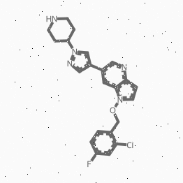 Fc1ccc(COn2ccc3ncc(-c4cnn(C5CCNCC5)c4)cc32)c(Cl)c1